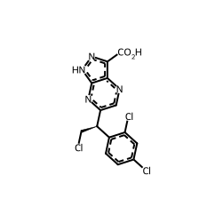 O=C(O)c1n[nH]c2nc([C@H](CCl)c3ccc(Cl)cc3Cl)cnc12